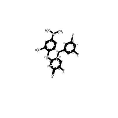 Cc1cc(N(C)C)ccc1Nc1nc(=O)c(F)cn1Cc1cc(F)cc(F)c1